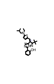 CCN(CC(C)C)c1ccc(/C=c2/c(C(C)(C)C)nn3c(-c4ccccc4O)nnc23)s1